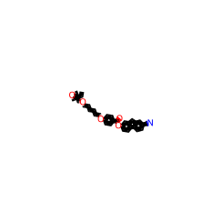 CCC1(COCCCCCCOc2ccc(C(=O)Oc3ccc4c(c3)Cc3cc(C#N)ccc3-4)cc2)COC1